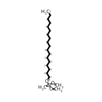 CCCCCCCCCCCCCCCCCCO[Si](C)(OC)OC